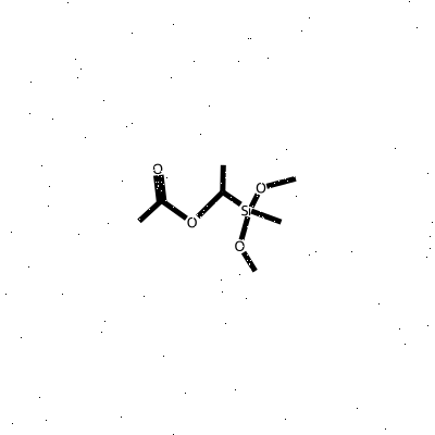 CO[Si](C)(OC)C(C)OC(C)=O